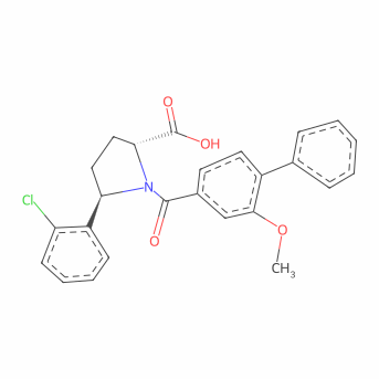 COc1cc(C(=O)N2[C@@H](C(=O)O)CC[C@@H]2c2ccccc2Cl)ccc1-c1ccccc1